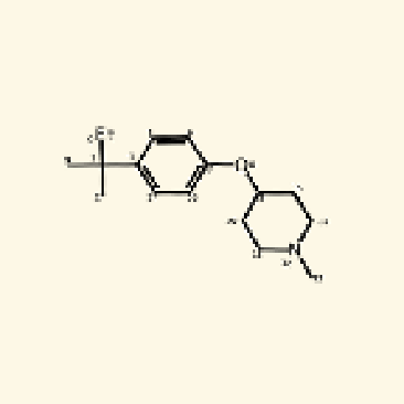 CCC(C)(C)c1ccc(OC2CCN(C)CC2)cc1